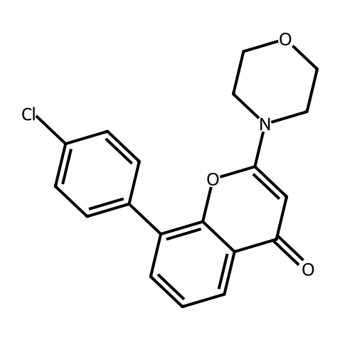 O=c1cc(N2CCOCC2)oc2c(-c3ccc(Cl)cc3)cccc12